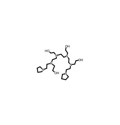 OCCN(CCN1CCCC1)CCN(CCO)CCN(CCO)CCN(CCO)CCN1CCCC1